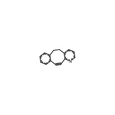 C1#Cc2ncccc2CCc2ccccc21